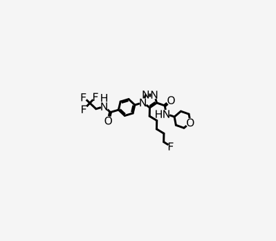 O=C(NCC(F)(F)F)c1ccc(-n2nnc(C(=O)NC3CCOCC3)c2CCCCCF)cc1